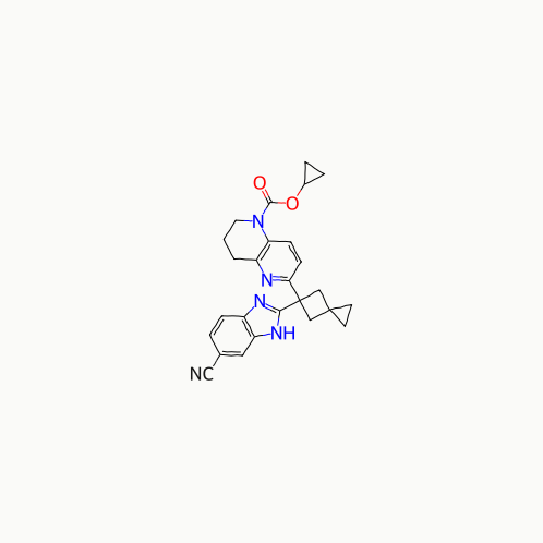 N#Cc1ccc2nc(C3(c4ccc5c(n4)CCCN5C(=O)OC4CC4)CC4(CC4)C3)[nH]c2c1